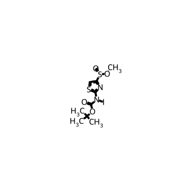 COS(=O)c1csc(N(I)C(=O)OC(C)(C)C)n1